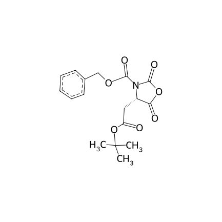 CC(C)(C)OC(=O)C[C@H]1C(=O)OC(=O)N1C(=O)OCc1ccccc1